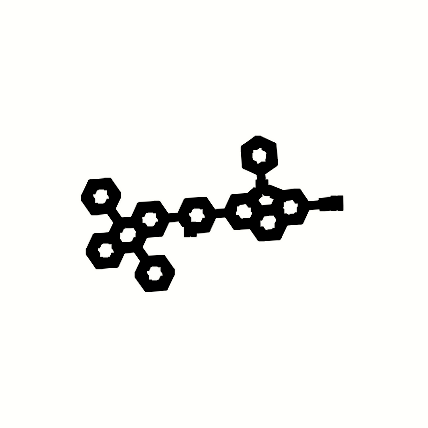 N#Cc1cc2ccc3cc(-c4ccc(-c5ccc6c(-c7ccccc7)c7ccccc7c(-c7ccccc7)c6c5)nc4)cc4c3c2c(c1)n4-c1ccccc1